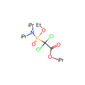 CCOP(=O)(N(C(C)C)C(C)C)C(Cl)(Cl)C(=O)OC(C)C